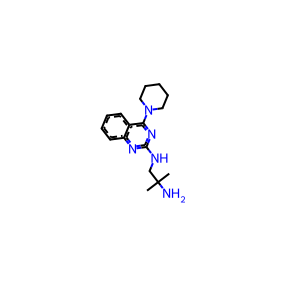 CC(C)(N)CNc1nc(N2CCCCC2)c2ccccc2n1